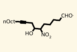 CCCCCCCCC#CCC(O)C(CCCC[C]=O)[N+](=O)[O-]